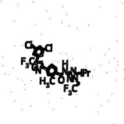 Cc1cc(C2=NOC(c3cc(Cl)cc(Cl)c3)(C(F)(F)F)C2)ccc1C(=O)Nc1nc(C(C)C)n(CC(F)(F)F)n1